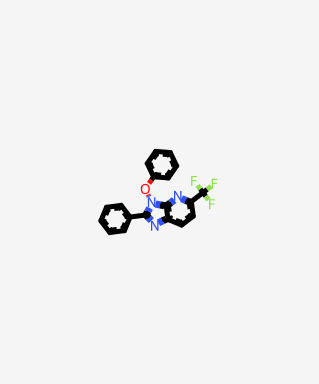 FC(F)(F)c1ccc2nc(-c3ccccc3)n(Oc3ccccc3)c2n1